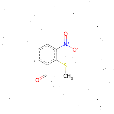 CSc1c(C=O)cccc1[N+](=O)[O-]